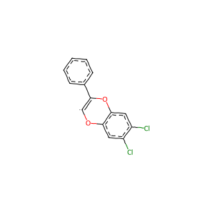 Clc1cc2c(cc1Cl)OC(c1ccccc1)=[C]O2